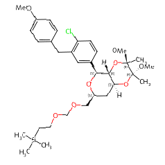 COc1ccc(Cc2cc([C@@H]3O[C@H](COCOCC[Si](C)(C)C)C[C@@H]4O[C@@](C)(OC)[C@](C)(OC)O[C@H]43)ccc2Cl)cc1